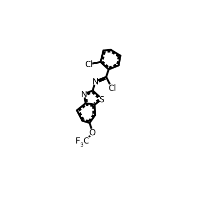 FC(F)(F)Oc1ccc2nc(N=C(Cl)c3ccccc3Cl)sc2c1